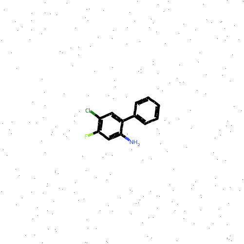 Nc1cc(F)c(Cl)cc1-c1ccccc1